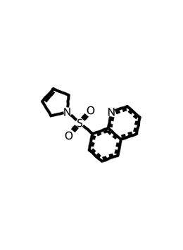 O=S(=O)(c1cccc2cccnc12)N1CC=CC1